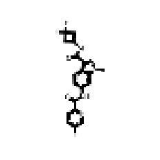 Cn1nc(C(=O)NC2CC(F)(F)C2)c2ccc(NC(=O)c3ccc(F)cn3)cc21